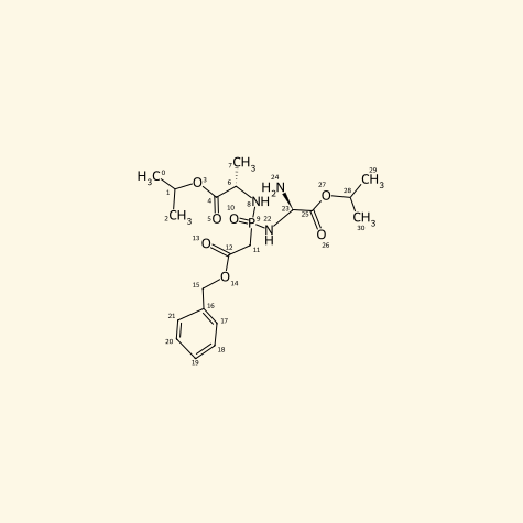 CC(C)OC(=O)[C@H](C)NP(=O)(CC(=O)OCc1ccccc1)N[C@@H](N)C(=O)OC(C)C